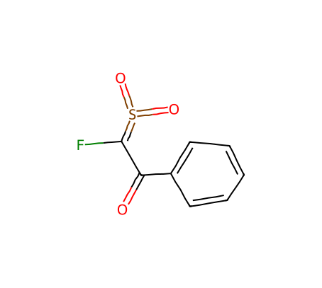 O=C(C(F)=S(=O)=O)c1ccccc1